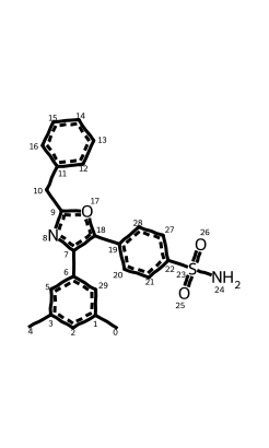 Cc1cc(C)cc(-c2nc(Cc3ccccc3)oc2-c2ccc(S(N)(=O)=O)cc2)c1